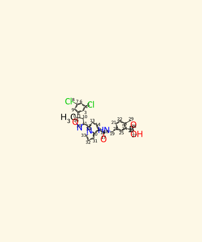 CC1(c2cc(Cl)cc(Cl)c2)CC(c2ccc(C(=O)NCc3ccc4c(c3)B(O)OC4)c3cccn23)=NO1